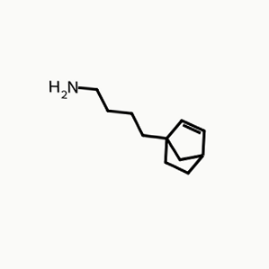 NCCCCC12C=CC(CC1)C2